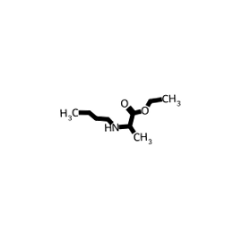 CCCCNC(C)C(=O)OCC